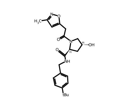 Cc1cc(CC(=O)N2C[C@H](O)C[C@H]2C(=O)NCc2ccc(C(C)(C)C)cc2)on1